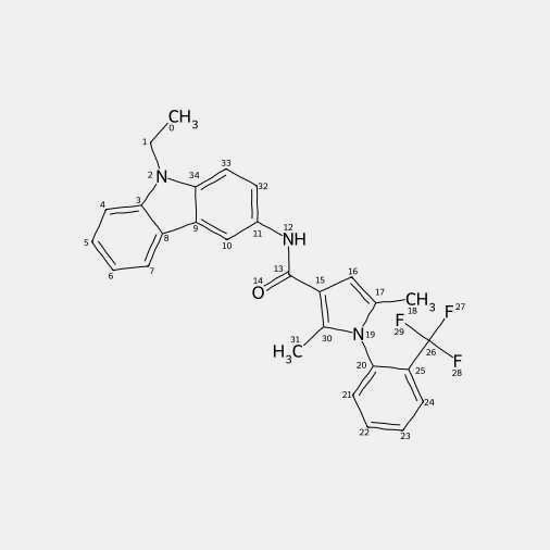 CCn1c2ccccc2c2cc(NC(=O)c3cc(C)n(-c4ccccc4C(F)(F)F)c3C)ccc21